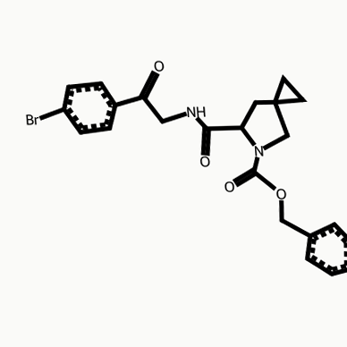 O=C(CNC(=O)C1CC2(CC2)CN1C(=O)OCc1ccccc1)c1ccc(Br)cc1